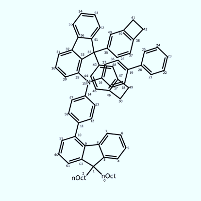 CCCCCCCCC1(CCCCCCCC)c2ccccc2-c2c(-c3ccc(N(c4ccc(-c5ccccc5)cc4)c4cccc5c4C(c4ccc6c(c4)CC6)(c4ccc6c(c4)CC6)c4ccccc4-5)cc3)cccc21